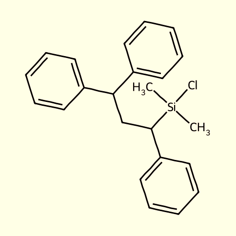 C[Si](C)(Cl)C(CC(c1ccccc1)c1ccccc1)c1ccccc1